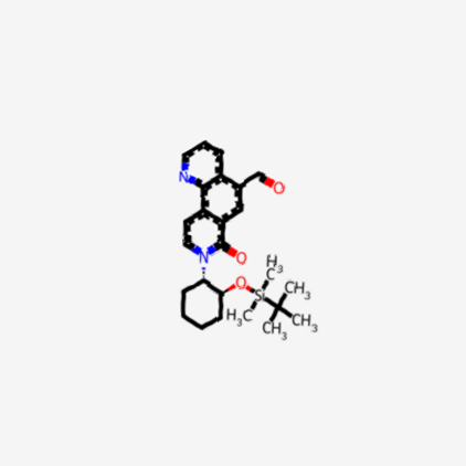 CC(C)(C)[Si](C)(C)O[C@H]1CCCC[C@@H]1n1ccc2c(cc(C=O)c3cccnc32)c1=O